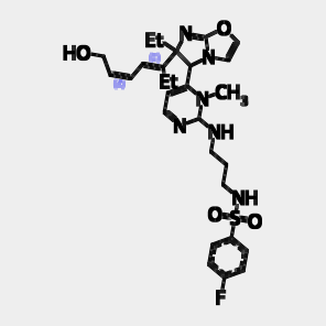 CC/C(=C\C=C/CO)C1(CC)N=C2OC=CN2C1C1=CC=NC(NCCCNS(=O)(=O)c2ccc(F)cc2)N1C